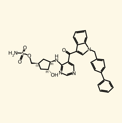 NS(=O)(=O)OC[C@@H]1C[C@@H](O)[C@H](Nc2ncncc2C(=O)c2cn(Cc3ccc(-c4ccccc4)cc3)c3ccccc23)C1